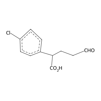 O=CCCC(C(=O)O)c1ccc(Cl)cc1